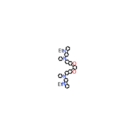 CCn1c2ccccc2c2ccc(N(c3ccccc3)c3ccc4cc5c(cc4c3)oc3ccc4oc6cc7cc(N(c8ccccc8)c8ccc9c%10ccccc%10n(CC)c9c8)ccc7cc6c4c35)cc21